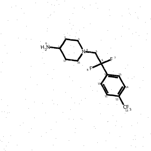 NC1CCN(CC(F)(F)c2ccc(C(F)(F)F)cc2)CC1